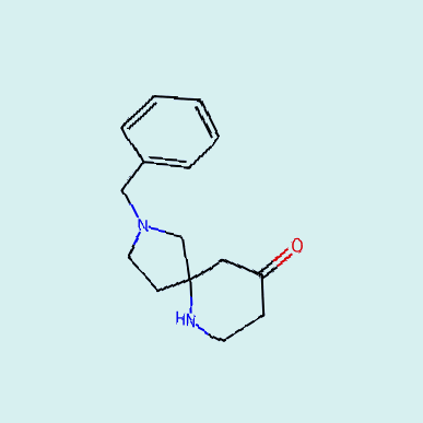 O=C1CCNC2(CCN(Cc3ccccc3)C2)C1